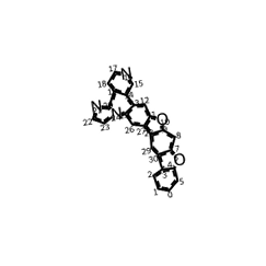 c1ccc2c(c1)oc1cc3oc4cc5c6cnccc6c6nccn6c5cc4c3cc12